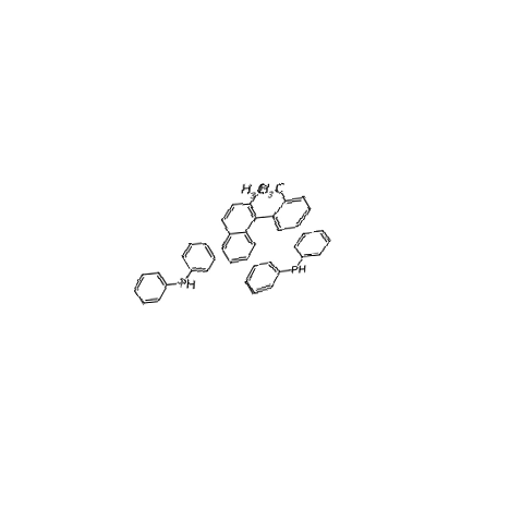 Cc1ccccc1-c1c(C)ccc2ccccc12.c1ccc(Pc2ccccc2)cc1.c1ccc(Pc2ccccc2)cc1